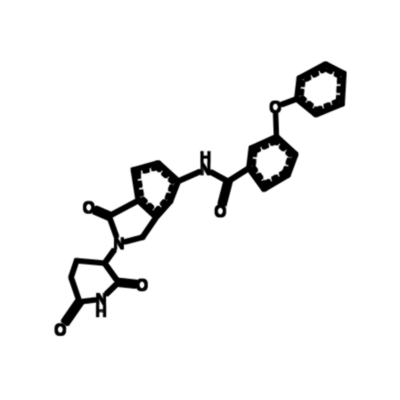 O=C1CCC(N2Cc3cc(NC(=O)c4cccc(Oc5ccccc5)c4)ccc3C2=O)C(=O)N1